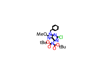 COc1nc2c(N(C(=O)OC(C)(C)C)C(=O)OC(C)(C)C)nc(Cl)nc2n1Cc1ccccc1